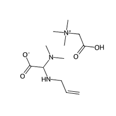 C=CCNC(C(=O)[O-])N(C)C.C[N+](C)(C)CC(=O)O